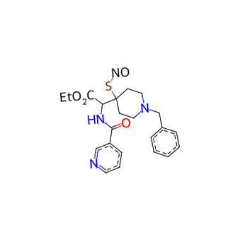 CCOC(=O)C(NC(=O)c1cccnc1)C1(SN=O)CCN(Cc2ccccc2)CC1